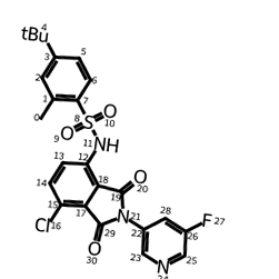 Cc1cc(C(C)(C)C)ccc1S(=O)(=O)Nc1ccc(Cl)c2c1C(=O)N(c1cncc(F)c1)C2=O